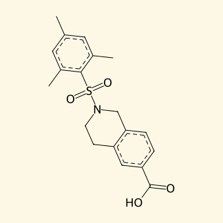 Cc1cc(C)c(S(=O)(=O)N2CCc3cc(C(=O)O)ccc3C2)c(C)c1